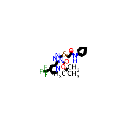 CC(C)(C)OC(=O)n1c(SCC(=O)Nc2ccccc2)nnc1-c1cc(C(F)(F)F)ccn1